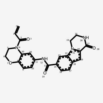 C=CC(=O)N1CCOc2ccc(NC(=O)c3ccc4cc5n(c4c3)CCNC5=O)cc21